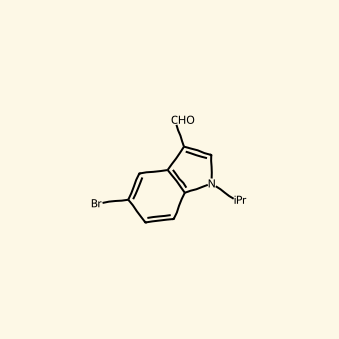 CC(C)n1cc(C=O)c2cc(Br)ccc21